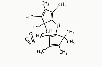 CC1=C(C)C(C)(C)[C]([Ti][C]2=C(C)C(C)=C(C)C2(C)C)=C1C.[C]=O.[C]=O